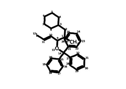 CC(CC1CCCCC1)C(/C=C/I)OC(c1ccccc1)(c1ccccc1)c1ccccc1